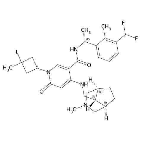 Cc1c(C(F)F)cccc1[C@@H](C)NC(=O)c1cn(C2CC(C)(I)C2)c(=O)cc1NC[C@@H]1[C@@H]2CC[C@H]1CN(C)C2